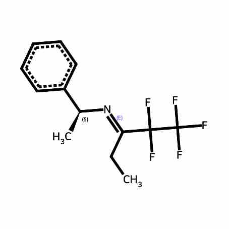 CC/C(=N\[C@@H](C)c1ccccc1)C(F)(F)C(F)(F)F